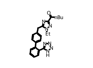 CCCCC(=O)c1nc(Cc2ccc(-c3ccccc3-c3nnn[nH]3)cc2)n(CC)n1